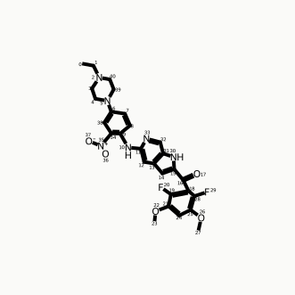 CCN1CCN(c2ccc(Nc3cc4cc(C(=O)c5c(F)c(OC)cc(OC)c5F)[nH]c4cn3)c([N+](=O)[O-])c2)CC1